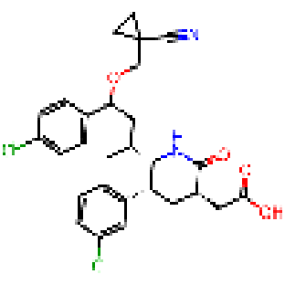 CC(C[C@H](OCC1(C#N)CC1)c1ccc(Cl)cc1)[C@@H]1NC(=O)[C@@H](CC(=O)O)C[C@@H]1c1cccc(Cl)c1